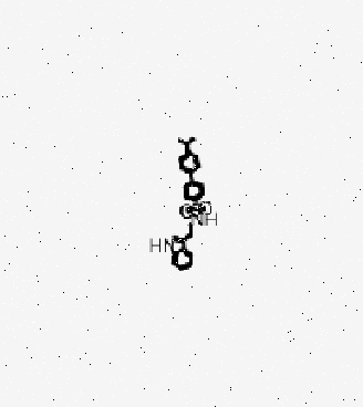 CC(C)c1ccc(-c2ccc(S(=O)(=O)NCCc3c[nH]c4ccccc34)cc2)cc1